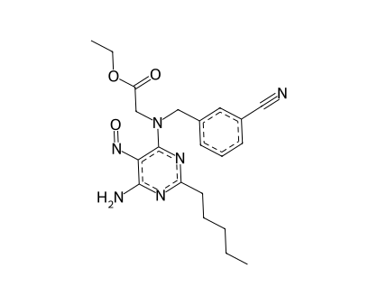 CCCCCc1nc(N)c(N=O)c(N(CC(=O)OCC)Cc2cccc(C#N)c2)n1